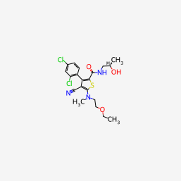 CCOCCN(C)c1sc(C(=O)NC[C@@H](C)O)c(-c2ccc(Cl)cc2Cl)c1C#N